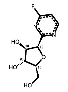 OC[C@@H]1O[C@H](c2nccc(F)n2)[C@H](O)[C@H]1O